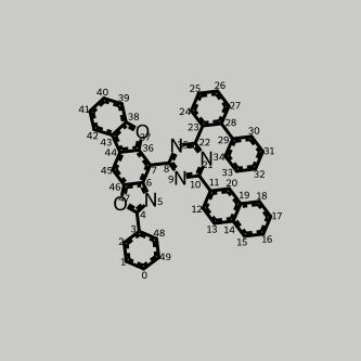 c1ccc(-c2nc3c(-c4nc(-c5ccc6ccccc6c5)nc(-c5ccccc5-c5ccccc5)n4)c4oc5ccccc5c4cc3o2)cc1